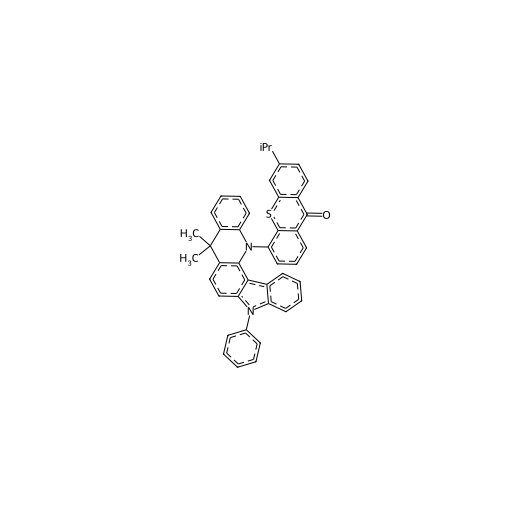 CC(C)c1ccc2c(=O)c3cccc(N4c5ccccc5C(C)(C)c5ccc6c(c54)c4ccccc4n6-c4ccccc4)c3sc2c1